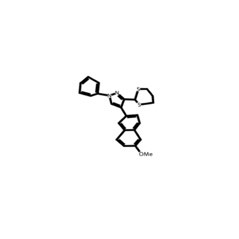 COc1ccc2cc(-c3cn(-c4ccccc4)nc3C3SCCCS3)ccc2c1